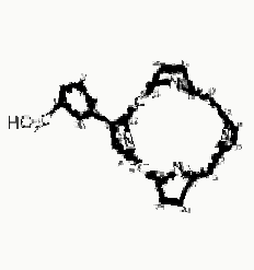 O=C(O)c1cccc(-c2cc3cc4nc(cc5ccc(cc6nc(cc2[nH]3)C=C6)[nH]5)C=C4)c1